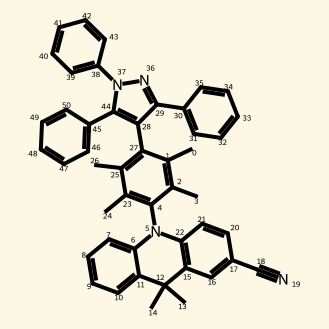 Cc1c(C)c(N2c3ccccc3C(C)(C)c3cc(C#N)ccc32)c(C)c(C)c1-c1c(-c2ccccc2)nn(-c2ccccc2)c1-c1ccccc1